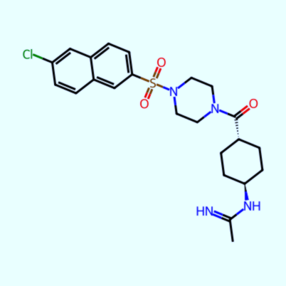 CC(=N)N[C@H]1CC[C@H](C(=O)N2CCN(S(=O)(=O)c3ccc4cc(Cl)ccc4c3)CC2)CC1